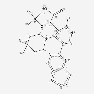 Cc1ncc(-c2ccc3ccccc3n2)c(N2CCC(C)(C)CC2)c1[C@H](OC(C)(C)C)C(=O)O